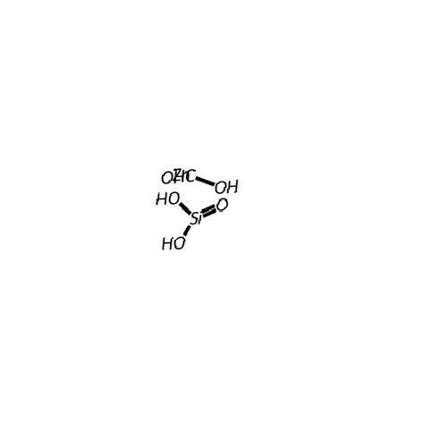 O=CO.O=[Si](O)O.[Zn]